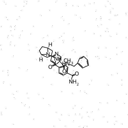 Cc1cc(C(N)=O)ccc1C(=O)N[C@H]1C[C@H]2CC[C@@H](C1)N2c1ccc(C(=O)NCc2ccccc2)cn1